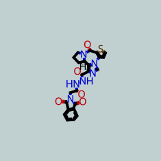 O=C(CN1C(=O)c2ccccc2C1=O)NNC(=O)c1ncn2c1[C@@H]1CCCN1C(=O)c1sccc1-2